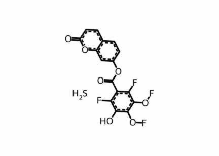 O=C(Oc1ccc2ccc(=O)oc2c1)c1c(F)c(O)c(OF)c(OF)c1F.S